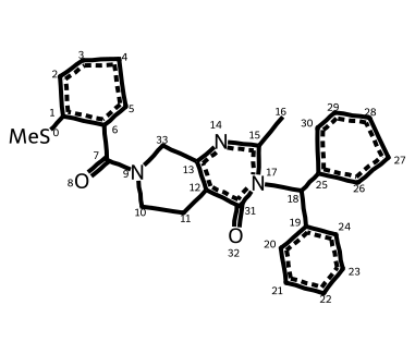 CSc1ccccc1C(=O)N1CCc2c(nc(C)n(C(c3ccccc3)c3ccccc3)c2=O)C1